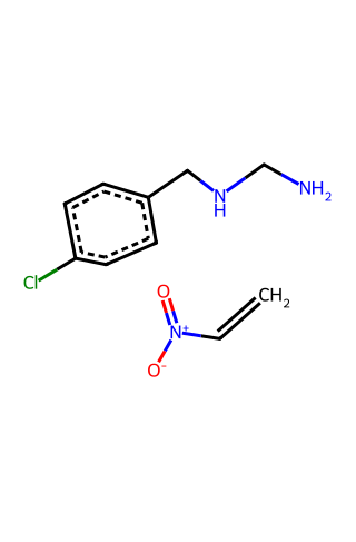 C=C[N+](=O)[O-].NCNCc1ccc(Cl)cc1